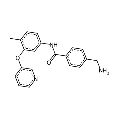 Cc1ccc(NC(=O)c2ccc(CN)cc2)cc1Oc1cccnc1